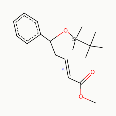 COC(=O)/C=C/CC(O[Si](C)(C)C(C)(C)C)c1ccccc1